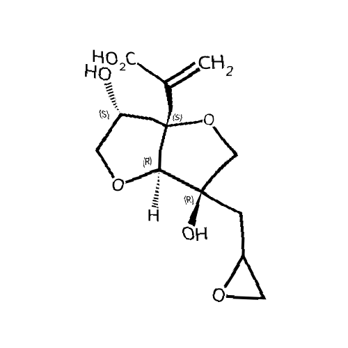 C=C(C(=O)O)[C@@]12OC[C@](O)(CC3CO3)[C@H]1OC[C@@H]2O